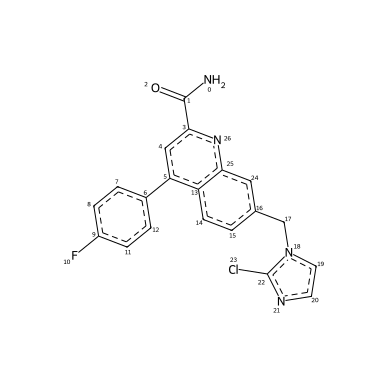 NC(=O)c1cc(-c2ccc(F)cc2)c2ccc(Cn3ccnc3Cl)cc2n1